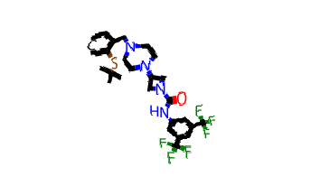 CC(C)(C)Sc1ccccc1CN1CCN(C2CN(C(=O)Nc3cc(C(F)(F)F)cc(C(F)(F)F)c3)C2)CC1